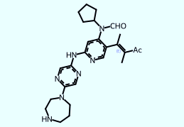 CC(=O)/C(C)=C(\C)c1cnc(Nc2cnc(N3CCCNCC3)cn2)cc1N(C=O)C1CCCC1